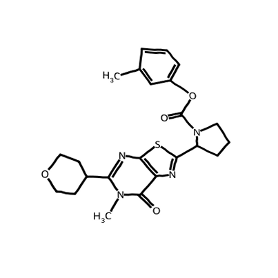 Cc1cccc(OC(=O)N2CCCC2c2nc3c(=O)n(C)c(C4CCOCC4)nc3s2)c1